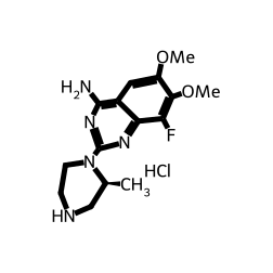 COc1cc2c(N)nc(N3CCNC[C@@H]3C)nc2c(F)c1OC.Cl